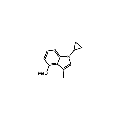 COc1c[c]cc2c1c(C)cn2C1CC1